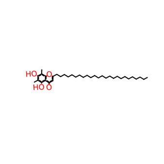 CCCCCCCCCCCCCCCCCCCCCCCCCc1cc(=O)c2c(O)c(C)c(O)c(C)c2o1